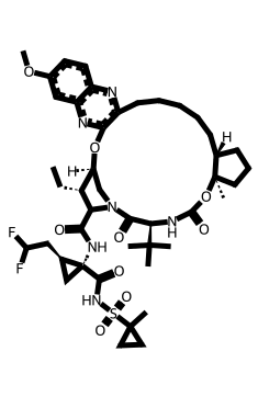 CC[C@H]1C(C(=O)N[C@]2(C(=O)NS(=O)(=O)C3(C)CC3)C[C@H]2CC(F)F)N2C[C@@H]1Oc1nc3cc(OC)ccc3nc1CCCCC[C@@H]1CCC[C@@]1(C)OC(=O)N[C@@H](C(C)(C)C)C2=O